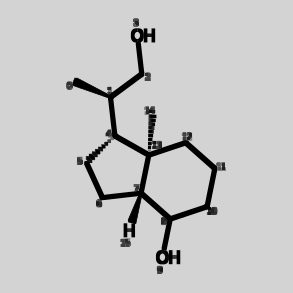 C[C@@H](CO)[C@H]1CC[C@H]2C(O)CCC[C@]12C